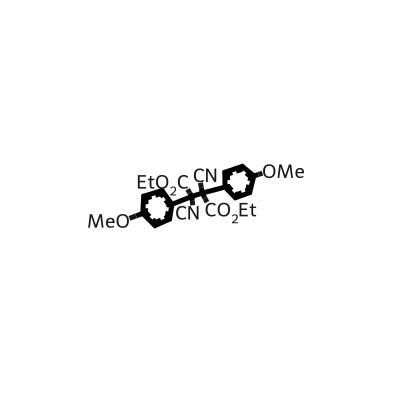 CCOC(=O)C(C#N)(c1ccc(OC)cc1)C(C#N)(C(=O)OCC)c1ccc(OC)cc1